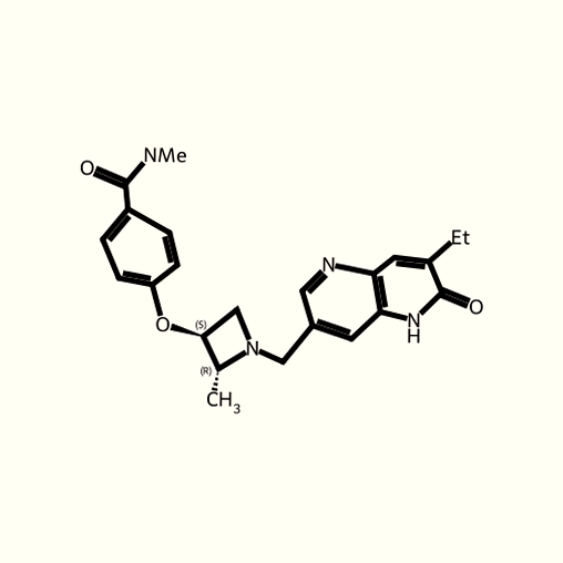 CCc1cc2ncc(CN3C[C@H](Oc4ccc(C(=O)NC)cc4)[C@H]3C)cc2[nH]c1=O